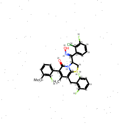 COc1cccc(-c2c(C)c(Cc3c(F)cccc3F)c3n(c2=O)C(C(=NO)c2cccc(F)c2Cl)CS3)c1F